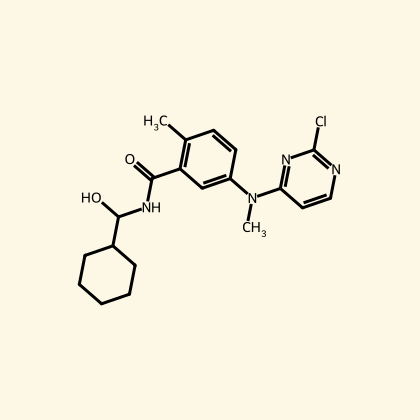 Cc1ccc(N(C)c2ccnc(Cl)n2)cc1C(=O)NC(O)C1CCCCC1